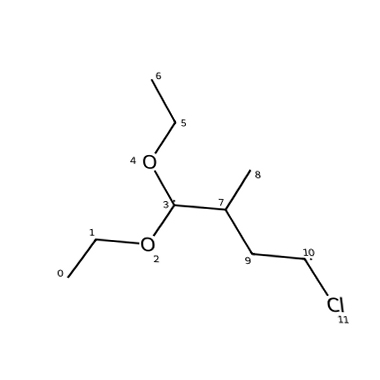 CCO[C](OCC)C(C)C[CH]Cl